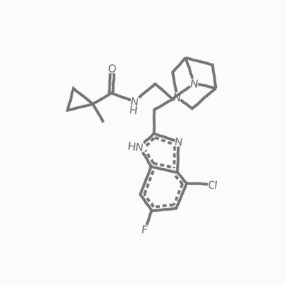 CC1(C(=O)NCCN2C3CC2CN(Cc2nc4c(Cl)cc(F)cc4[nH]2)C3)CC1